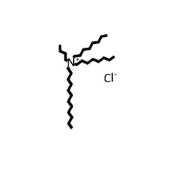 CCCCCCCCCCCC[N+](CCCC)(CCCCCCCC)CCCCCCCC.[Cl-]